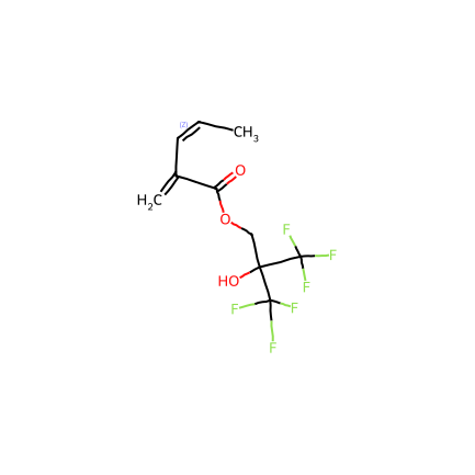 C=C(/C=C\C)C(=O)OCC(O)(C(F)(F)F)C(F)(F)F